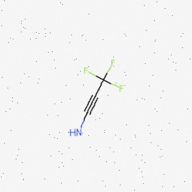 [NH]C#CC(F)(F)F